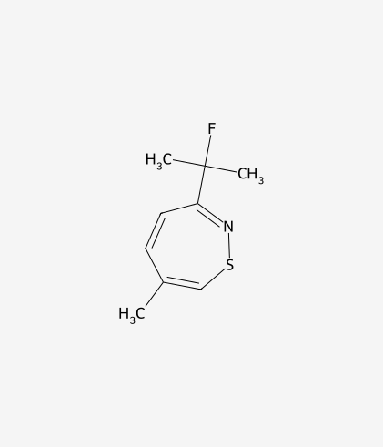 CC1=CSN=C(C(C)(C)F)C=C1